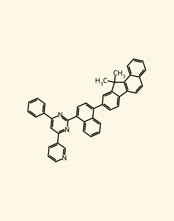 CC1(C)c2cc(-c3ccc(-c4nc(-c5ccccc5)cc(-c5cccnc5)n4)c4ccccc34)ccc2-c2ccc3ccccc3c21